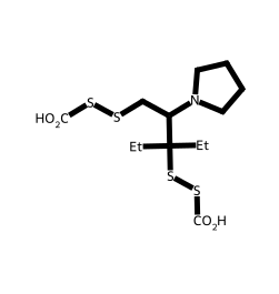 CCC(CC)(SSC(=O)O)C(CSSC(=O)O)N1CCCC1